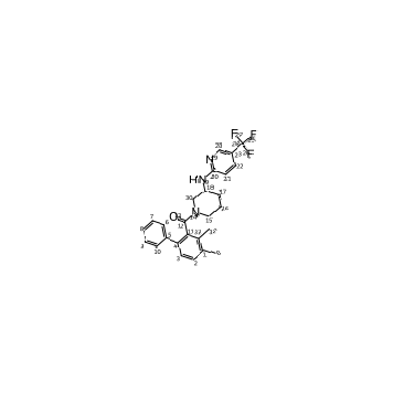 Cc1ccc(-c2ccccc2)c(C(=O)N2CCCC(Nc3ccc(C(F)(F)F)cn3)C2)c1C